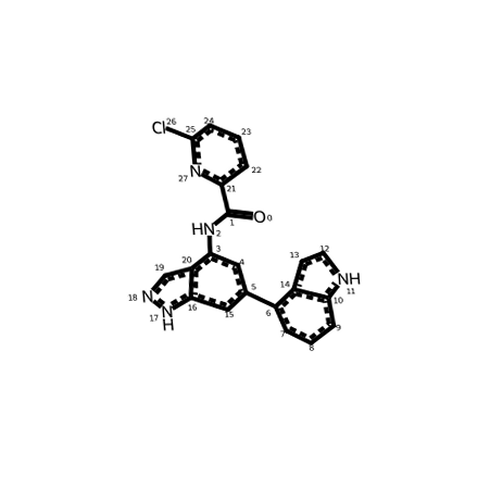 O=C(Nc1cc(-c2cccc3[nH]ccc23)cc2[nH]ncc12)c1cccc(Cl)n1